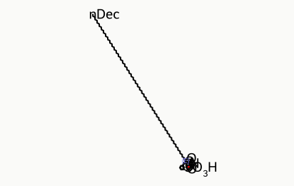 CCCCCCCCCCCCCCCCCCCCCCCCCCCCCCCCCCCCCCCCCCCCCCCCCCCCCCCCCCCCCCCCCCCCCCCCCCCCCCCCCCCCCCCCCCCCCCCC/C=C/C(Cc1ccccc1)(OS(=O)(=O)O)B1OC(=O)CN(C)CC(=O)O1